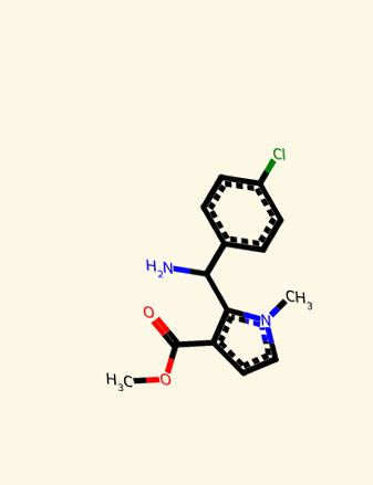 COC(=O)c1ccn(C)c1C(N)c1ccc(Cl)cc1